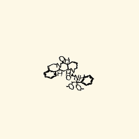 COC[C@](NC(=O)N1CCC[C@@H]2C(=O)N3CCc4ccccc4[C@@H]3C[C@@H]21)(OC)c1ccccc1